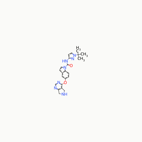 CC(C)(C)n1ccc(NC(=O)n2ccc3cc(Oc4ncnc5c4CNC5)ccc32)n1